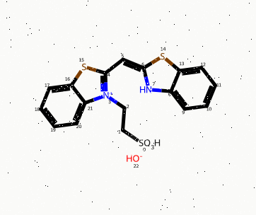 O=S(=O)(O)CC[n+]1c(C=C2Nc3ccccc3S2)sc2ccccc21.[OH-]